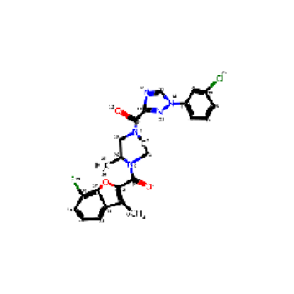 Cc1c(C(=O)N2CCN(C(=O)c3ncn(-c4cccc(Cl)c4)n3)CC2C)oc2c(F)cccc12